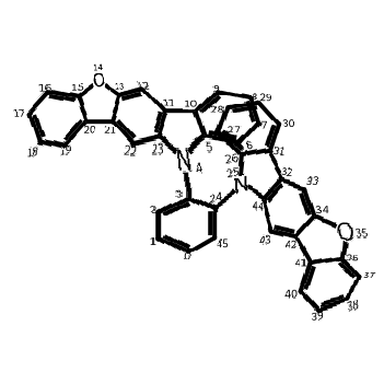 c1ccc(-n2c3ccccc3c3cc4oc5ccccc5c4cc32)c(-n2c3ccccc3c3cc4oc5ccccc5c4cc32)c1